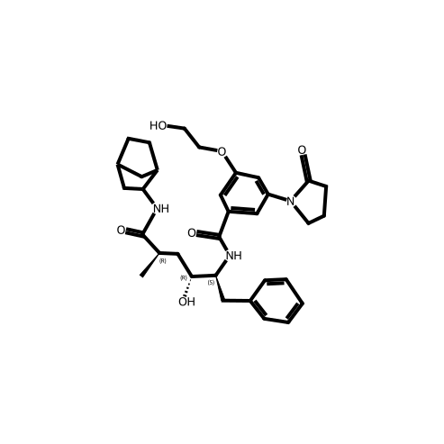 C[C@H](C[C@@H](O)[C@H](Cc1ccccc1)NC(=O)c1cc(OCCO)cc(N2CCCC2=O)c1)C(=O)NC1CC2CCC1C2